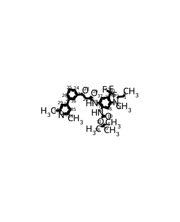 CCCN(C)c1cc(NC(=O)OC(C)(C)C)c(NC(=O)CC(=O)c2cccc(-c3cc(C)nc(C)c3)c2)cc1C(F)(F)F